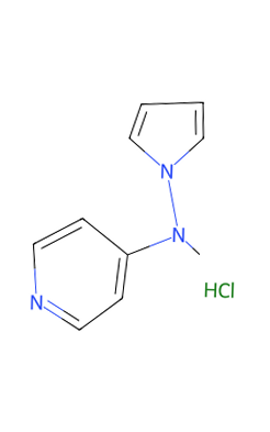 CN(c1ccncc1)n1cccc1.Cl